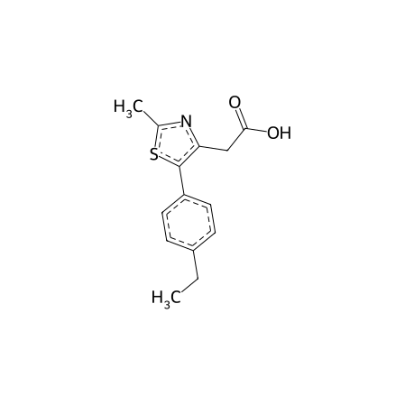 CCc1ccc(-c2sc(C)nc2CC(=O)O)cc1